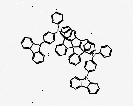 c1ccc(-c2ccccc2C2(c3ccccc3-c3ccccc3)c3cc(N(c4ccccc4)c4ccc(-n5c6ccccc6c6ccccc65)cc4)ccc3-c3ccc(N(c4ccccc4)c4ccc(-n5c6ccccc6c6ccccc65)cc4)cc32)cc1